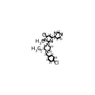 CC[C@@H]1CN(c2nc(-c3ccncn3)cc(=O)n2C)CCN1Cc1ccc(Cl)cc1